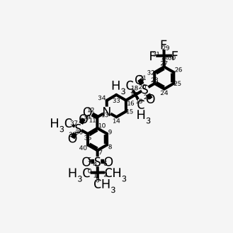 CC(C)(C)S(=O)(=O)c1ccc(C(=O)N2CCC(C(C)(C)S(=O)(=O)c3cccc(C(F)(F)F)c3)CC2)c(S(C)(=O)=O)c1